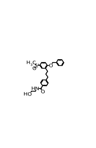 C[S+]([O-])c1ccc(OCc2ccccc2)c(CCCc2ccc(C(=O)NCCO)cc2)c1